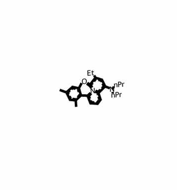 CCCN(CCC)c1cc(CC)c(=O)n2c(-c3c(C)cc(C)cc3C)cccc12